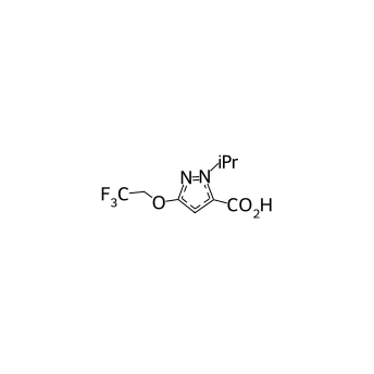 CC(C)n1nc(OCC(F)(F)F)cc1C(=O)O